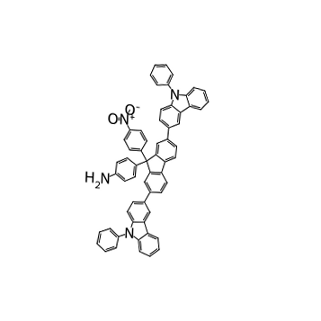 Nc1ccc(C2(c3ccc([N+](=O)[O-])cc3)c3cc(-c4ccc5c(c4)c4ccccc4n5-c4ccccc4)ccc3-c3ccc(-c4ccc5c(c4)c4ccccc4n5-c4ccccc4)cc32)cc1